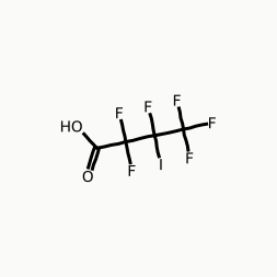 O=C(O)C(F)(F)C(F)(I)C(F)(F)F